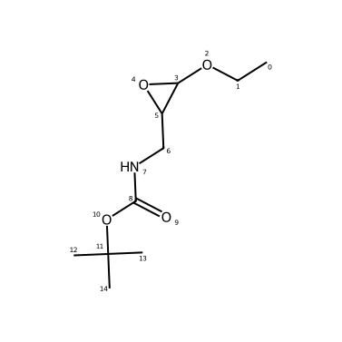 CCOC1OC1CNC(=O)OC(C)(C)C